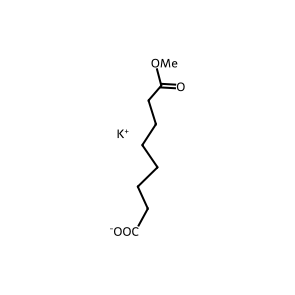 COC(=O)CCCCCCC(=O)[O-].[K+]